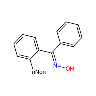 CCCCCCCCCc1ccccc1C(=NO)c1ccccc1